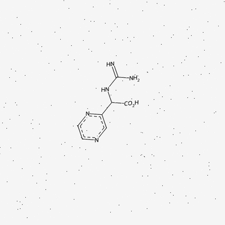 N=C(N)NC(C(=O)O)c1cnccn1